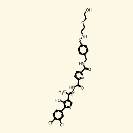 C/C(=N\NC(=O)c1ccc(C(=O)NCc2ccc(SNCCOCCO)cc2)s1)c1csc(-c2ccc(Cl)c(Cl)c2)c1O